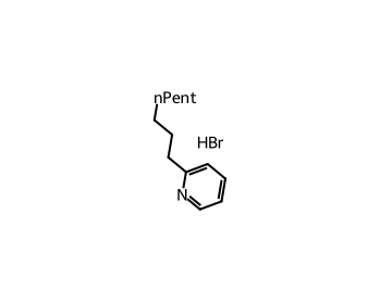 Br.CCCCCCCCc1ccccn1